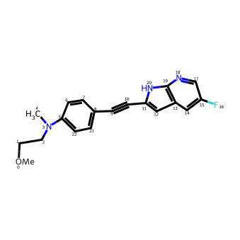 COCCN(C)c1ccc(C#Cc2cc3cc(F)cnc3[nH]2)cc1